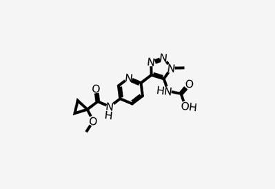 COC1(C(=O)Nc2ccc(-c3nnn(C)c3NC(=O)O)nc2)CC1